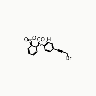 O=C(O)N(c1ccc(C#CCBr)cc1)C1C=CC=CC1=S(=O)=O